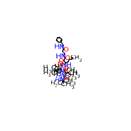 C=CCCC(NC(=O)[C@@H]1[C@@H]2[C@H](CN1C(=O)[C@@H](NC(=O)NC(C)(C)C)C(C)(C)C)C2(C)C)C(=O)C(=O)NCCC(=O)NCc1ccccc1